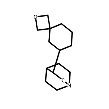 C1CC(C2CN3CCC2CC3)CC2(C1)COC2